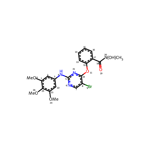 COc1cc(Nc2ncc(Br)c(Oc3ccccc3C(=O)N(C)O)n2)cc(OC)c1OC